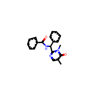 Cc1cnc(C(NC(=O)c2ccccc2)c2ccccc2)n(C)c1=O